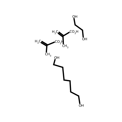 C=C(C)C(=O)O.C=C(C)C(=O)O.OCCCCCCO.OCCO